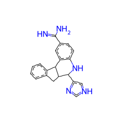 N=C(N)c1ccc2c(c1)C1c3ccccc3CC1C(c1c[nH]cn1)N2